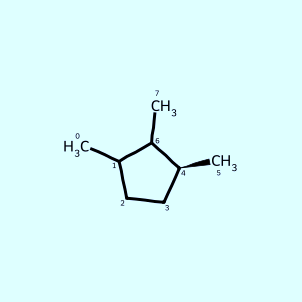 CC1CC[C@H](C)C1C